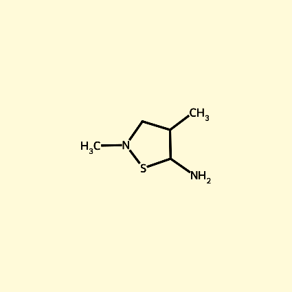 CC1CN(C)SC1N